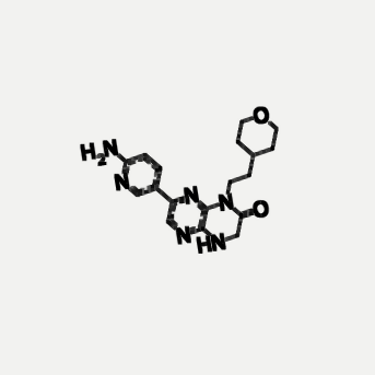 Nc1ccc(-c2cnc3c(n2)N(CCC2CCOCC2)C(=O)CN3)cn1